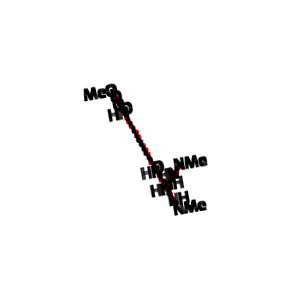 CNCCCNCCCCNC(CCCCCCNC(=O)CCCCCCCCCCCCCCCCCCCCCCCCNC(=O)CCOCCOCCOC)NCCCCNCCCNC